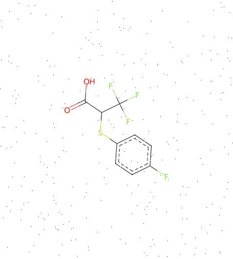 O=C(O)C(Sc1ccc(F)cc1)C(F)(F)F